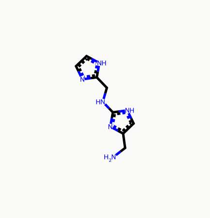 NCc1c[nH]c(NCc2ncc[nH]2)n1